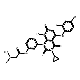 CN(C)CC(=O)Nc1cccc(-n2c(=O)n(C3CC3)c(=O)c3c(Nc4ccc(Br)cc4F)cc(=O)n(C)c32)c1